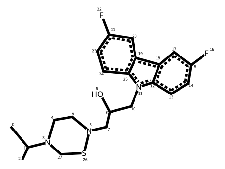 CC(C)N1CCN(CC(O)Cn2c3ccc(F)cc3c3cc(F)ccc32)SC1